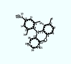 Cc1ccc2c(c1)N(c1c(C)cc(C(C)(C)C)cc1C)c1cncnc1O2